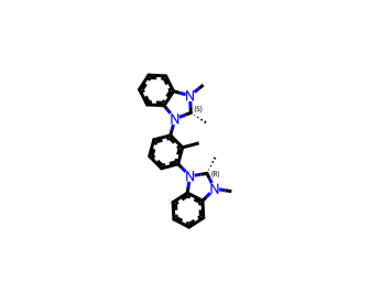 Cc1c(N2c3ccccc3N(C)[C@H]2C)cccc1N1c2ccccc2N(C)[C@@H]1C